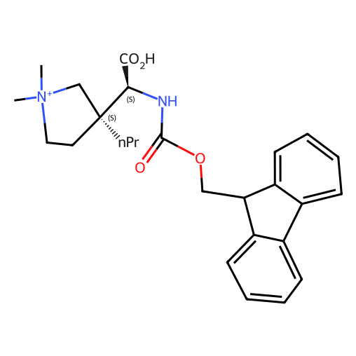 CCC[C@]1([C@H](NC(=O)OCC2c3ccccc3-c3ccccc32)C(=O)O)CC[N+](C)(C)C1